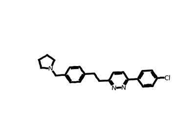 Clc1ccc(-c2ccc(CCc3ccc(CN4CCCC4)cc3)nn2)cc1